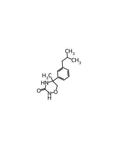 CC(C)Cc1cccc(C2(C)CONC(=O)N2)c1